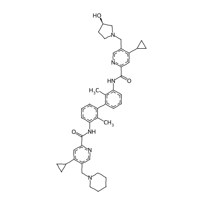 Cc1c(NC(=O)c2cc(C3CC3)c(CN3CCCCC3)cn2)cccc1-c1cccc(NC(=O)c2cc(C3CC3)c(CN3CC[C@@H](O)C3)cn2)c1C